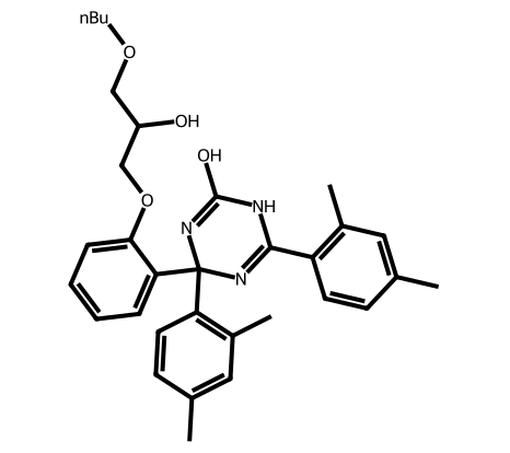 CCCCOCC(O)COc1ccccc1C1(c2ccc(C)cc2C)N=C(O)NC(c2ccc(C)cc2C)=N1